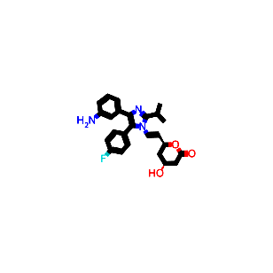 CC(C)c1nc(-c2cccc(N)c2)c(-c2ccc(F)cc2)n1/C=C/[C@@H]1C[C@@H](O)CC(=O)O1